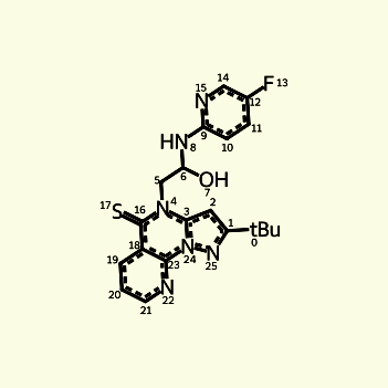 CC(C)(C)c1cc2n(CC(O)Nc3ccc(F)cn3)c(=S)c3cccnc3n2n1